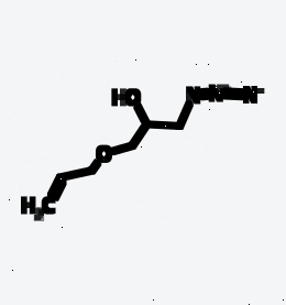 C=CCOCC(O)CN=[N+]=[N-]